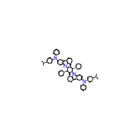 CC(C)c1ccc(N(c2ccccc2)c2ccc3c(c2)c2cccc4c5c(-c6ccccc6)c6c(c(-c7ccccc7)c5n3c24)c2cccc3c4cc(N(c5ccccc5)c5ccc(C(C)C)cc5)ccc4n6c32)cc1